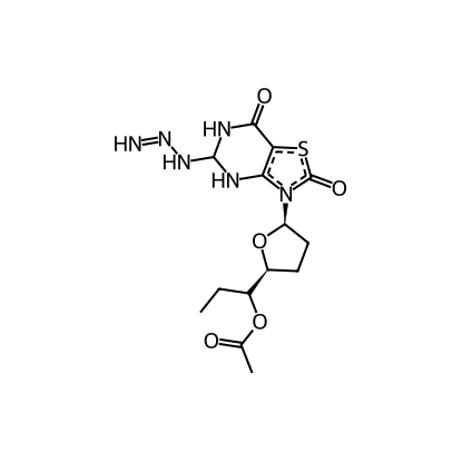 CCC(OC(C)=O)[C@@H]1CC[C@H](n2c3c(sc2=O)C(=O)NC(NN=N)N3)O1